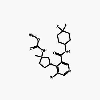 CC(C)(C)OC(=O)N[C@@]1(C)CCN(c2c(Br)cncc2C(=O)NC2CCC(F)(F)CC2)C1